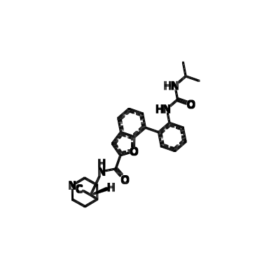 CC(C)NC(=O)Nc1ccccc1-c1cccc2cc(C(=O)N[C@H]3CN4CCC3CC4)oc12